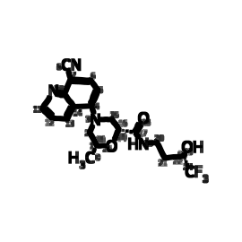 C[C@@H]1CN(c2ccc(C#N)c3ncccc23)C[C@H](C(=O)NCC[C@H](O)C(F)(F)F)O1